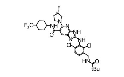 CC(C)(C)C(=O)NCc1ccc(Cl)c(Nc2nc3cc(C(=O)NC4CCC(C(F)(F)F)CC4)c(N4CC[C@H](F)C4)nc3[nH]2)c1Cl